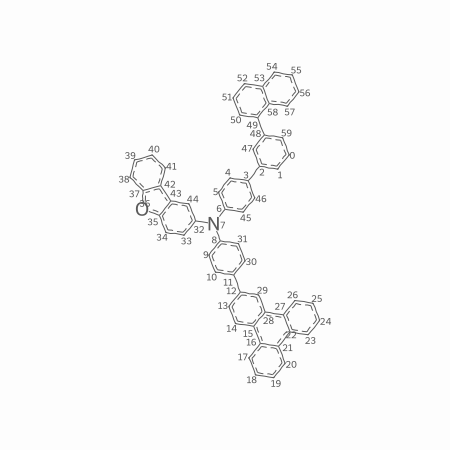 c1cc(-c2ccc(N(c3ccc(-c4ccc5c6ccccc6c6ccccc6c5c4)cc3)c3ccc4oc5ccccc5c4c3)cc2)cc(-c2cccc3ccccc23)c1